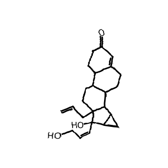 C=CCC12CCC3C4CCC(=O)C=C4CCC3C1C1CC1C2(O)/C=C\CO